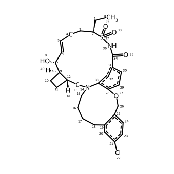 CC[C@@H]1CC/C=C/[C@@H](O)[C@@H]2CC[C@H]2CN2CCCCc3cc(Cl)ccc3COc3ccc(cc32)C(=O)NS1(=O)=O